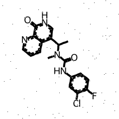 CC(c1c[nH]c(=O)c2ncccc12)N(C)C(=O)Nc1ccc(F)c(Cl)c1